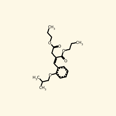 CCCOC(=O)CC(=Cc1ccccc1OCC(C)C)C(=O)OCCC